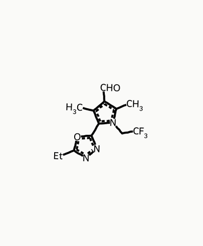 CCc1nnc(-c2c(C)c(C=O)c(C)n2CC(F)(F)F)o1